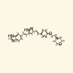 C(=Cc1cc(C=Cc2ccc3nc[nH]c3c2)[nH]n1)c1ccc(OCCN2CCOCC2)cc1